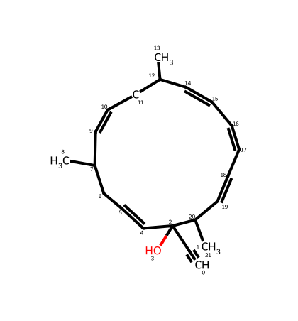 C#CC1(O)/C=C\CC(C)/C=C\CC(C)\C=C/C=C\C=C/C1C